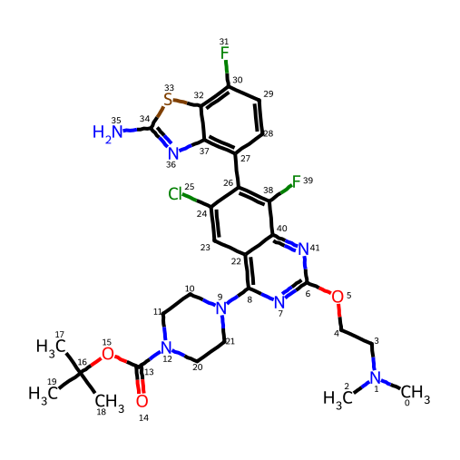 CN(C)CCOc1nc(N2CCN(C(=O)OC(C)(C)C)CC2)c2cc(Cl)c(-c3ccc(F)c4sc(N)nc34)c(F)c2n1